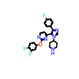 Fc1ccc(-c2ncn(C3CCNCC3)c2-c2ccnc(Oc3ccc(F)c(F)c3)n2)cc1